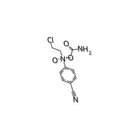 N#Cc1ccc([N+]([O-])(CCCl)OC(N)=O)cc1